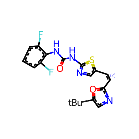 CC(C)(C)c1cnc(/C=C\c2cnc(NC(=O)Nc3c(F)cccc3F)s2)o1